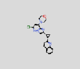 Clc1cc(N2CCOCC2)c2nc([C@H]3C[C@H]3c3ccc4ccccc4n3)cn2n1